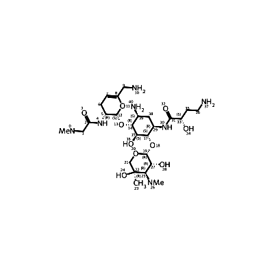 CNCC(=O)N[C@@H]1CC=C(CN)O[C@@H]1O[C@H]1[C@H](O)[C@@H](O[C@H]2OC[C@](C)(O)[C@H](NC)[C@H]2O)[C@H](NC(=O)[C@@H](O)CCN)C[C@@H]1N